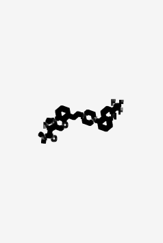 CN(C)C(=O)c1ncn2c1COc1c(CCN3CCN(c4cccc5nc(C(F)(F)F)ccc45)CC3)cccc1-2